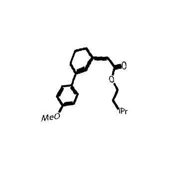 COc1ccc(C2=CC(=CC(=O)OCCC(C)C)CCC2)cc1